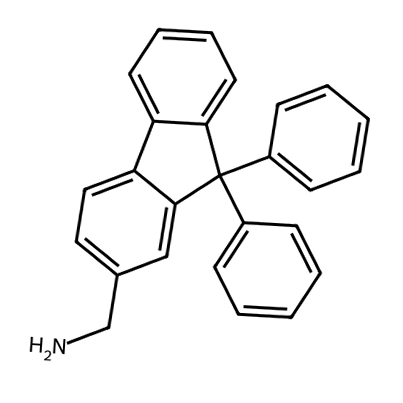 NCc1ccc2c(c1)C(c1ccccc1)(c1ccccc1)c1ccccc1-2